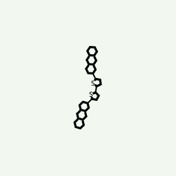 c1ccc2cc3cc(-c4ccc(-c5ccc(-c6ccc7cc8ccccc8cc7c6)s5)s4)ccc3cc2c1